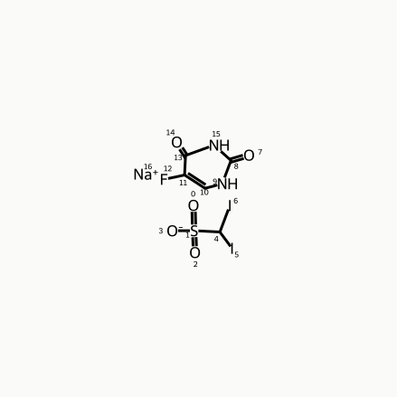 O=S(=O)([O-])C(I)I.O=c1[nH]cc(F)c(=O)[nH]1.[Na+]